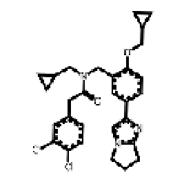 O=C(Cc1ccc(Cl)c(Cl)c1)N(Cc1cc(-c2cn3c(n2)CCC3)ccc1OCC1CC1)CC1CC1